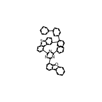 c1ccc(-c2cccc(-c3ccccc3-c3ccc4sc5cccc(-c6nc(-c7ccccc7)nc(-c7cccc8c7oc7ccccc78)n6)c5c4c3)c2)cc1